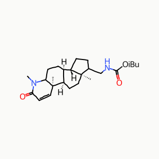 CC(C)COC(=O)NCC1CC[C@H]2[C@@H]3CCC4N(C)C(=O)C=C[C@]4(C)[C@@H]3CC[C@]12C